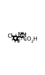 O=C(O)c1cc(-c2cc(Cl)ccc2F)ncn1